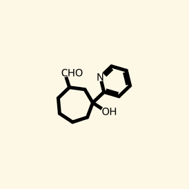 O=CC1CCCCC(O)(c2ccccn2)C1